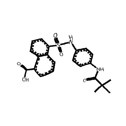 CC(C)(C)C(=O)Nc1ccc(NS(=O)(=O)c2cccc3c(C(=O)O)cccc23)cc1